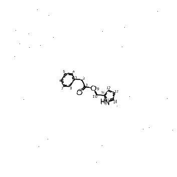 O=C(Cc1ccccc1)OCc1ccc[nH]1